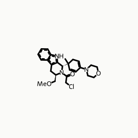 COC[C@H]1Cc2c([nH]c3ccccc23)[C@H](C2(C)C=CC(N3CCOCC3)=CC2)N1C(=O)CCl